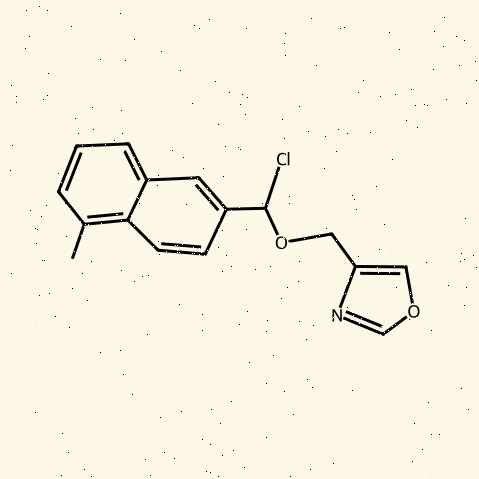 Cc1cccc2cc(C(Cl)OCc3cocn3)ccc12